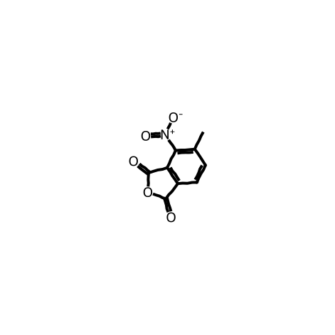 Cc1ccc2c(c1[N+](=O)[O-])C(=O)OC2=O